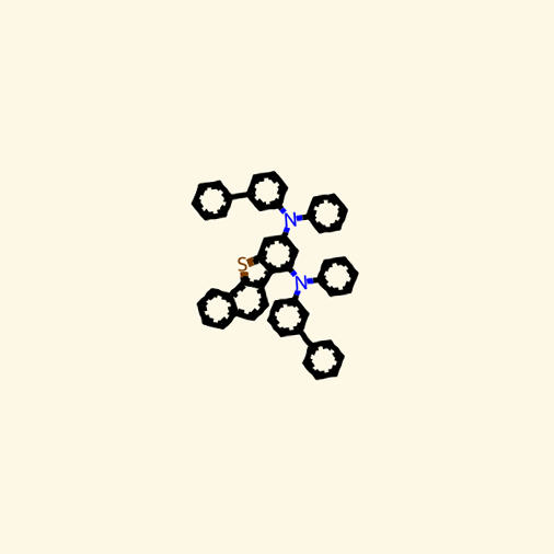 c1ccc(-c2cccc(N(c3ccccc3)c3cc(N(c4ccccc4)c4cccc(-c5ccccc5)c4)c4c(c3)sc3c5ccccc5ccc34)c2)cc1